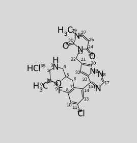 C[C@H]1CNCC(Cc2c(F)cc(Cl)cc2-c2ncnn3cc(Cn4c(=O)ccn(C)c4=O)cc23)O1.Cl